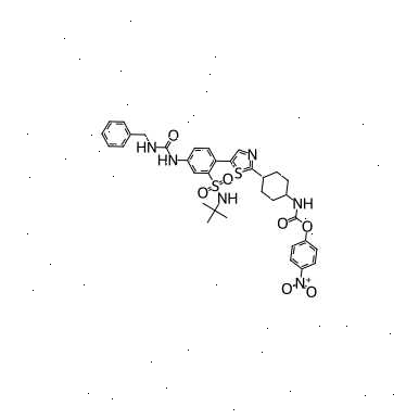 CC(C)(C)NS(=O)(=O)c1cc(NC(=O)NCc2ccccc2)ccc1-c1cnc(C2CCC(NC(=O)Oc3ccc([N+](=O)[O-])cc3)CC2)s1